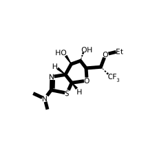 CCO[C@@H](C1O[C@@H]2SC(N(C)C)=N[C@@H]2[C@@H](O)[C@@H]1O)C(F)(F)F